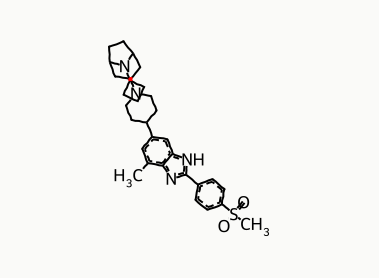 Cc1cc(C2CCN(C3CC4CCC(C3)N4C3CCC3)CC2)cc2[nH]c(-c3ccc(S(C)(=O)=O)cc3)nc12